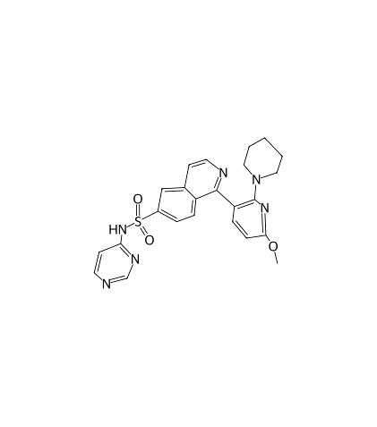 COc1ccc(-c2nccc3cc(S(=O)(=O)Nc4ccncn4)ccc23)c(N2CCCCC2)n1